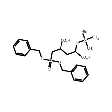 CC(C)(C)[Si](C)(C)O[C@H](C[C@@H](CP(=O)(OCc1ccccc1)OCc1ccccc1)C(=O)O)C(=O)O